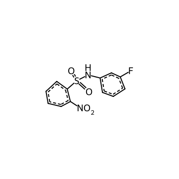 O=[N+]([O-])c1ccccc1S(=O)(=O)Nc1cccc(F)c1